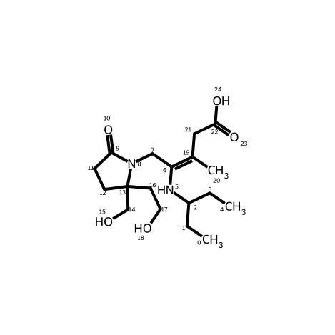 CCC(CC)NC(CN1C(=O)CCC1(CO)CCO)=C(C)CC(=O)O